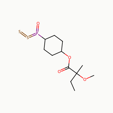 CCC(C)(OC)C(=O)OC1CCC(P(=O)=S=S)CC1